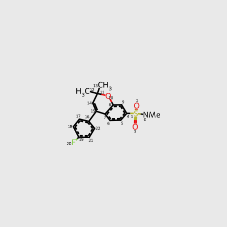 CNS(=O)(=O)c1ccc2c(c1)OC(C)(C)C=C2c1ccc(F)cc1